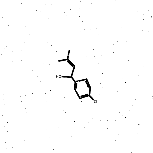 CC(C)=CC(O)c1ccc(Cl)cc1